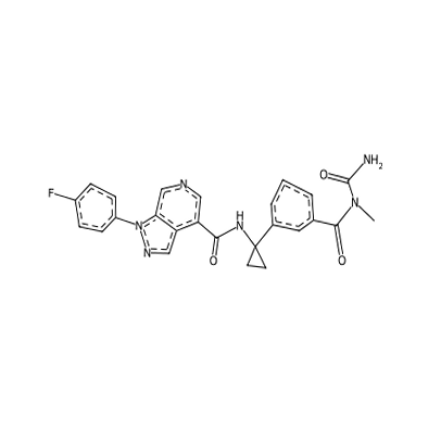 CN(C(N)=O)C(=O)c1cccc(C2(NC(=O)c3cncc4c3cnn4-c3ccc(F)cc3)CC2)c1